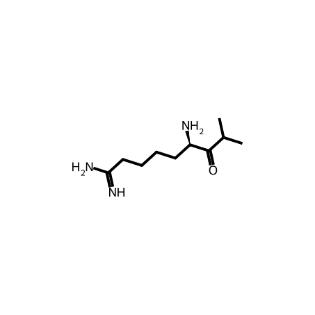 CC(C)C(=O)[C@H](N)CCCCC(=N)N